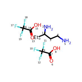 CCC(N)CCN.O=C(O)C(F)(F)F.O=C(O)C(F)(F)F